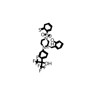 O=S(=O)(C1=CC=CCC1=S)N1CCN(c2ccc(C(O)(C(F)(F)F)C(F)(F)F)cc2)[C@H](Cc2ccccc2O)C1